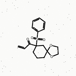 C=CC(=O)C1(S(=O)(=O)c2ccccc2)CCCC2(C1)OCCO2